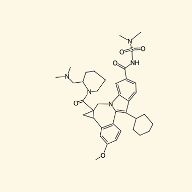 COc1ccc2c(c1)C1CC1(C(=O)N1CCCCC1CN(C)C)Cn1c-2c(C2CCCCC2)c2ccc(C(=O)NS(=O)(=O)N(C)C)cc21